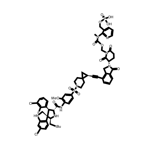 COc1cc(S(=O)(=O)N2CCC3(CC2)C[C@H]3C#Cc2cccc3c2CN([C@H]2CCC(=O)N(COC(=O)N(C)c4ncccc4COP(=O)(O)O)C2=O)C3=O)ccc1NC(=O)[C@@H]1N[C@@H](CC(C)(C)C)[C@@]2(CNc3cc(Cl)ccc32)[C@H]1c1cccc(Cl)c1F